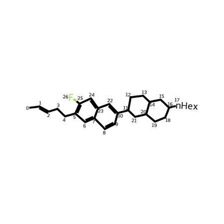 CC=CCCc1cc2ccc(C3CCC4CC(CCCCCC)CCC4C3)cc2cc1F